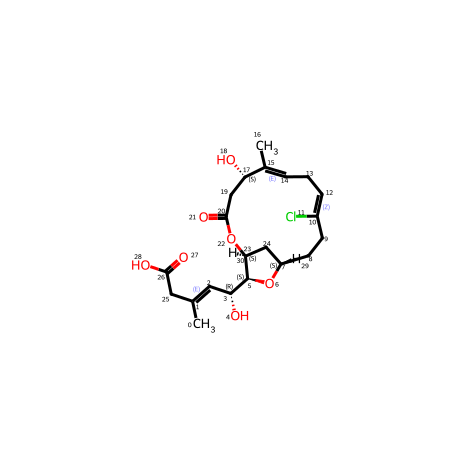 C/C(=C\[C@@H](O)[C@@H]1O[C@H]2CC/C(Cl)=C/C/C=C(\C)[C@@H](O)CC(=O)O[C@H]1C2)CC(=O)O